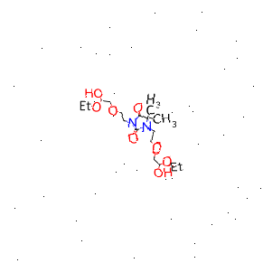 CCOC(O)COCCN1C(=O)N(CCOCC(O)OCC)C(C)(C)C1=O